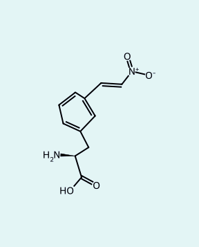 N[C@@H](Cc1cccc(C=C[N+](=O)[O-])c1)C(=O)O